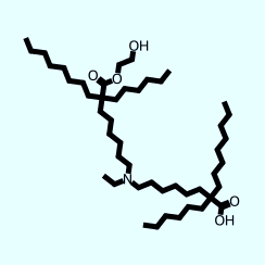 CCCCCCCCC(CCCCCC)(CCCCCCN(CC)CCCCCCC(CCCCCC)(CCCCCCCC)C(=O)OCCO)C(=O)O